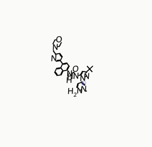 C=C/C(=C\N(C)N)n1nc(C(C)(C)C)cc1NC(=O)Nc1ccc(-c2ccc(CN3CCOCC3)nc2)c2ccccc12